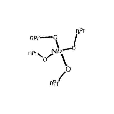 CCC[O][Nb]([O]CCC)([O]CCC)[O]CCC